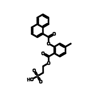 Cc1ccc(C(=O)OCCS(=O)(=O)O)c(OC(=O)c2cccc3ccccc23)c1